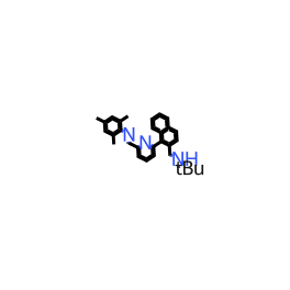 Cc1cc(C)c(N=Cc2cccc(-c3c(CNC(C)(C)C)ccc4ccccc34)n2)c(C)c1